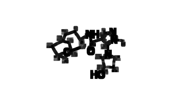 Cn1ncc(C(=O)NC2CCC3CC4CC(C3)C2C4)c1N1CCC(O)C1